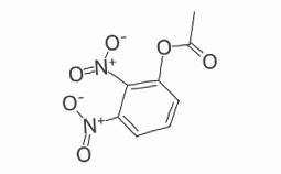 CC(=O)Oc1cccc([N+](=O)[O-])c1[N+](=O)[O-]